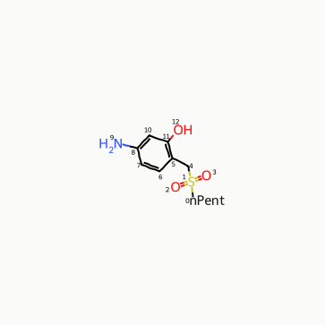 CCCCCS(=O)(=O)Cc1ccc(N)cc1O